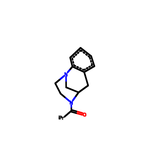 CC(C)C(=O)N1CCN2CC1Cc1ccccc12